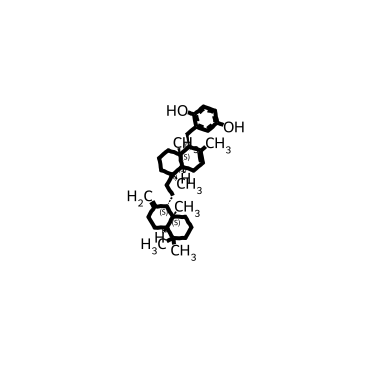 C=C1CC[C@H]2C(C)(C)CCC[C@]2(C)[C@H]1CC[C@@]1(C)CCC[C@]2(C)[C@@H](Cc3cc(O)ccc3O)C(C)=CC[C@@H]12